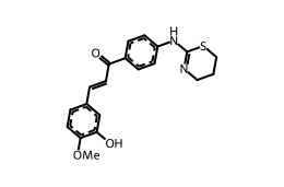 COc1ccc(/C=C/C(=O)c2ccc(NC3=NCCCS3)cc2)cc1O